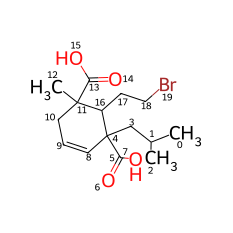 CC(C)CC1(C(=O)O)C=CCC(C)(C(=O)O)C1CCBr